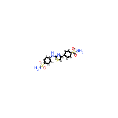 NS(=O)(=O)c1ccc(Nc2nc(-c3ccc(S(N)(=O)=O)cc3)cs2)cc1